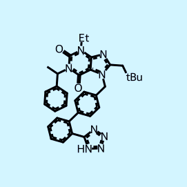 CCn1c(=O)n(C(C)c2ccccc2)c(=O)c2c1nc(CC(C)(C)C)n2Cc1ccc(-c2ccccc2-c2nnn[nH]2)cc1